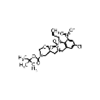 C=CCN1c2c(cc(Cl)cc2[N+](=O)[O-])CN(CC2CCCN(C(=O)OC(C)(C)C)C2)S1(=O)=O